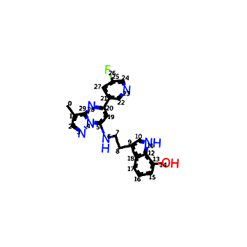 Cc1cnn2c(NCCc3c[nH]c4c(O)cccc34)cc(-c3cncc(F)c3)nc12